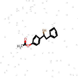 CC(=O)Oc1ccc(C(S)Cc2ccccc2)cc1